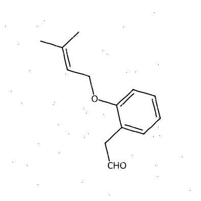 CC(C)=CCOc1ccccc1CC=O